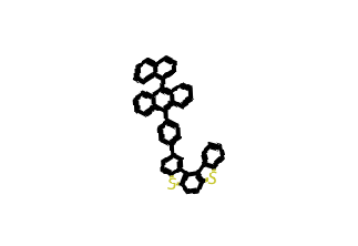 c1ccc2c(-c3c4ccccc4c(-c4ccc(-c5ccc6sc7ccc8sc9ccccc9c8c7c6c5)cc4)c4ccccc34)cccc2c1